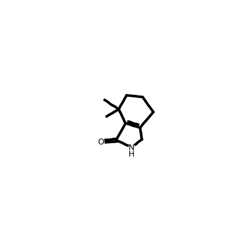 CC1(C)CCCC2=C1C(=O)NC2